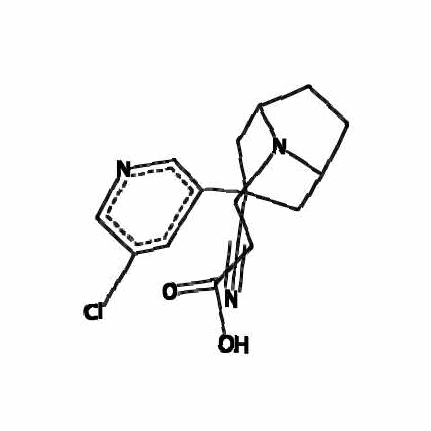 N#CC1(c2cncc(Cl)c2)CC2CCC(C1)N2CCC(=O)O